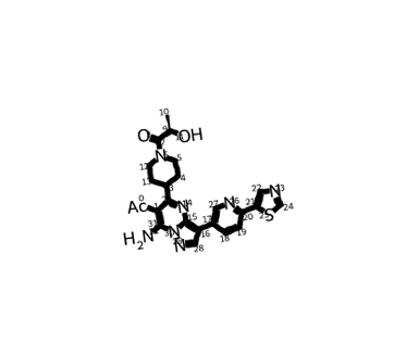 CC(=O)c1c(C2CCN(C(=O)[C@@H](C)O)CC2)nc2c(-c3ccc(-c4cncs4)nc3)cnn2c1N